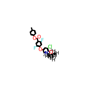 [2H]C([2H])([2H])C(Oc1ncc(Oc2cc(F)c(C(=O)Oc3ccc(C)cc3)cc2F)cc1Cl)(C([2H])([2H])[2H])C([2H])([2H])[2H]